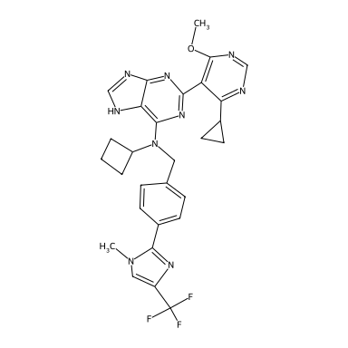 COc1ncnc(C2CC2)c1-c1nc(N(Cc2ccc(-c3nc(C(F)(F)F)cn3C)cc2)C2CCC2)c2[nH]cnc2n1